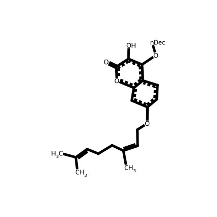 CCCCCCCCCCOc1c(O)c(=O)oc2cc(OCC=C(C)CCC=C(C)C)ccc12